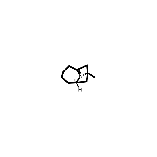 CC12CC3=[N+]1[C@@H](CCCC3)C2